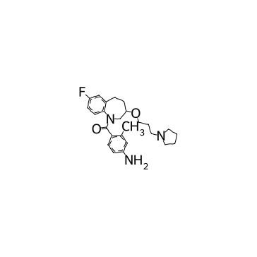 Cc1cc(N)ccc1C(=O)N1CC(OCCCN2CCCC2)CCc2cc(F)ccc21